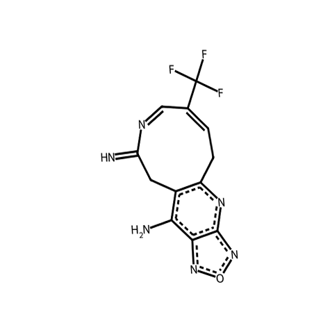 N=C1Cc2c(nc3nonc3c2N)C/C=C(C(F)(F)F)\C=N/1